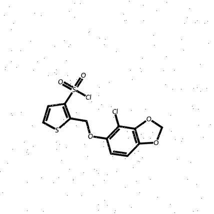 O=S(=O)(Cl)c1ccsc1COc1ccc2c(c1Cl)OCO2